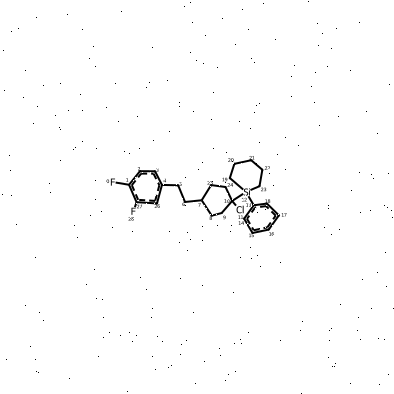 Fc1ccc(CCC2CCC(Cl)([Si]3(c4ccccc4)CCCCC3)CC2)cc1F